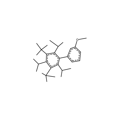 COc1cccc(-c2c(C(C)C)c(C(C)(C)C)c(C(C)C)c(C(C)(C)C)c2C(C)C)c1